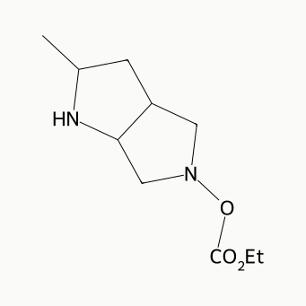 CCOC(=O)ON1CC2CC(C)NC2C1